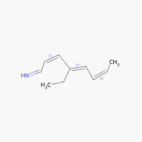 C\C=C/C=C(/C=C\C=N)CC